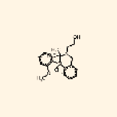 COc1ccccc1[Si]1(C)c2ccccc2CN(CCO)C1(C)C